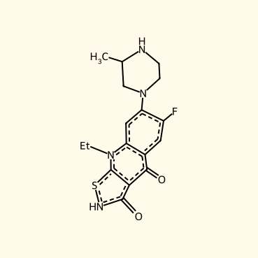 CCn1c2cc(N3CCNC(C)C3)c(F)cc2c(=O)c2c(=O)[nH]sc21